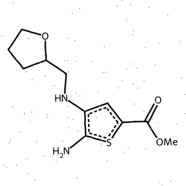 COC(=O)c1cc(NCC2CCCO2)c(N)s1